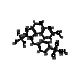 COc1ccc2c(ncc3nc(C(F)(F)F)n(Cc4ccc(S(N)(=O)=O)cc4)c32)n1